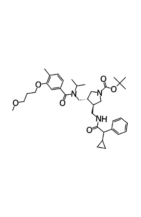 COCCCOc1cc(C(=O)N(C[C@@H]2CN(C(=O)OC(C)(C)C)C[C@H]2CNC(=O)C(c2ccccc2)C2CC2)C(C)C)ccc1C